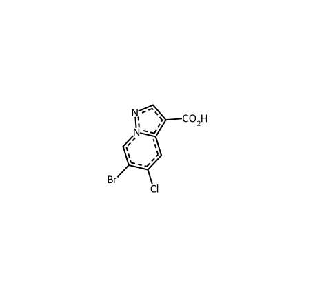 O=C(O)c1cnn2cc(Br)c(Cl)cc12